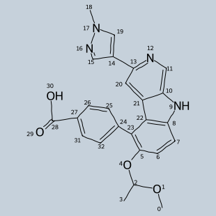 COC(C)Oc1ccc2[nH]c3cnc(-c4cnn(C)c4)cc3c2c1-c1ccc(C(=O)O)cc1